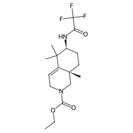 CCOC(=O)N1CC=C2C(C)(C)[C@@H](NC(=O)C(F)(F)F)CC[C@]2(C)C1